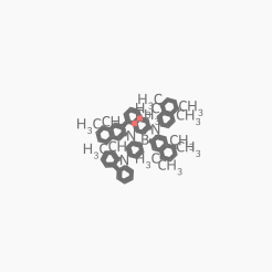 Cc1cc2c3c(c1)N(c1cc4c(cc1-c1ccccc1)C(C)(C)CCC4(C)C)c1cc(-n4c5ccccc5c5ccccc54)ccc1B3c1cc3c(cc1N2c1ccc2c(c1)C(C)(C)CCC2(C)C)C(C)(C)CCC3(C)C